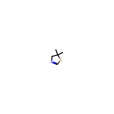 CC1(C)CN=CS1